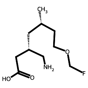 C[C@H](CCOCF)C[C@H](CN)CC(=O)O